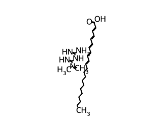 CCCCCCCCCCCC=CC=CC=CC=CC=CC(=O)O.CN(C)C(=N)NC(=N)N